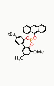 COc1cc(C)cc2c1op(Oc1c3ccccc3cc3ccccc13)oc1cc(C(C)(C)C)ccc12